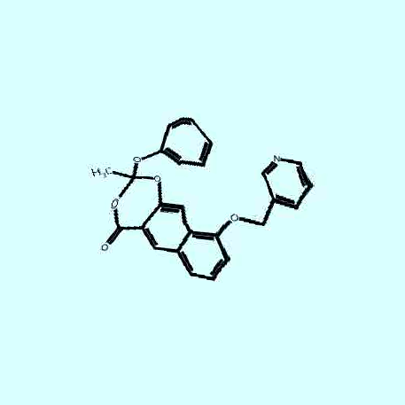 CC1(Oc2ccccc2)OC(=O)c2cc3cccc(OCc4cccnc4)c3cc2O1